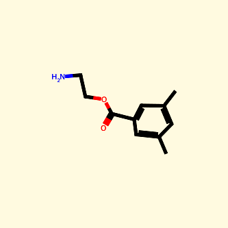 Cc1cc(C)cc(C(=O)OCCN)c1